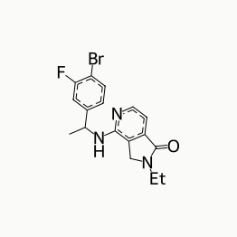 CCN1Cc2c(ccnc2NC(C)c2ccc(Br)c(F)c2)C1=O